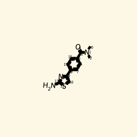 CN(C)C(=O)c1ccc(-c2csc(N)n2)cc1